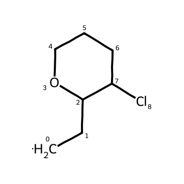 [CH2]CC1OCCCC1Cl